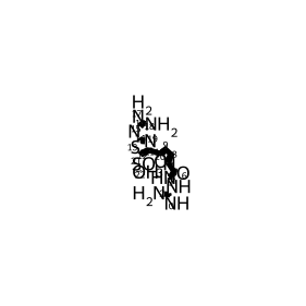 N=C(N)NNC(=O)c1ccc(-c2csc(N=C(N)N)n2)o1.O=S(=O)(O)O